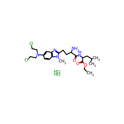 CCOC(=O)C(CC(C)C)NC(=O)C(N)CCc1nc2cc(N(CCCl)CCCl)ccc2n1C.Cl.Cl